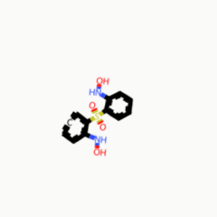 O=S(=O)(c1ccccc1NO)c1ccccc1NO